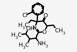 CCC1OC(C(N)C(C)C(C)O)=NC(CC)(c2ccccc2Cl)C1=O